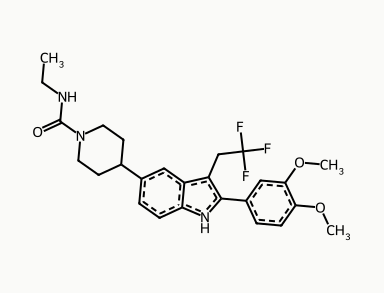 CCNC(=O)N1CCC(c2ccc3[nH]c(-c4ccc(OC)c(OC)c4)c(CC(F)(F)F)c3c2)CC1